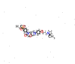 C[C@@H]1CCCN1CCCOc1ccc(N2CCC3(CC2)CN(c2ccc(S(C)(=O)=O)cc2)C(=O)CO3)cc1